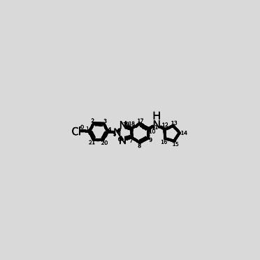 Clc1ccc(-n2nc3ccc(NC4CCCC4)cc3n2)cc1